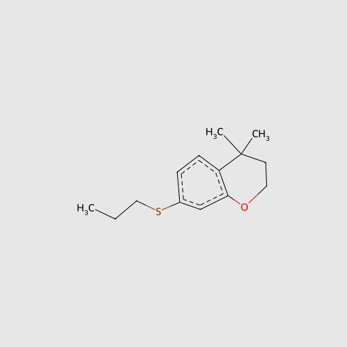 CCCSc1ccc2c(c1)OCCC2(C)C